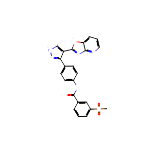 CS(=O)(=O)c1cccc(C(=O)Nc2ccc(-c3n[nH]cc3-c3nc4ncccc4o3)cc2)c1